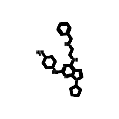 N[C@H]1CC[C@H](Nc2nc(NCCNCc3ccccc3)c3ncn(C4CCCC4)c3n2)CC1